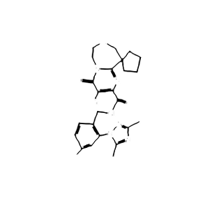 Cc1nc(C)n(-c2cc(F)ccc2CNC(=O)c2nc3n(c(=O)c2O)CCOCC32CCCC2)n1